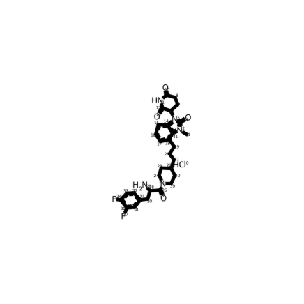 Cl.Cn1c(=O)n(C2CCC(=O)NC2=O)c2cccc(CCCC3CCN(C(=O)C(N)Cc4ccc(F)c(F)c4)CC3)c21